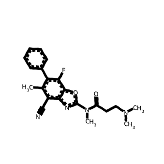 Cc1c(-c2ccccc2)c(F)c2oc(N(C)C(=O)CCN(C)C)nc2c1C#N